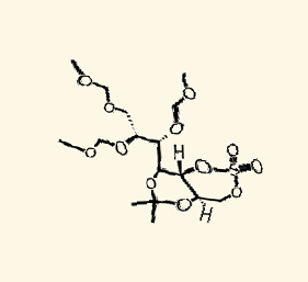 COCOC[C@@H](OCOC)[C@H](OCOC)[C@@H]1OC(C)(C)O[C@@H]2COS(=O)(=O)O[C@@H]12